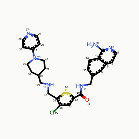 Nc1nccc2cc(CNC(=O)c3cc(Cl)c(CNCC4CCN(c5ccncc5)CC4)s3)ccc12